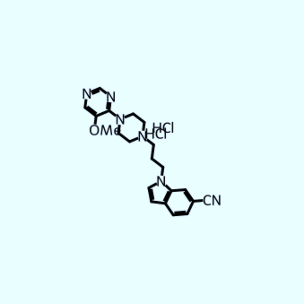 COc1cncnc1N1CCN(CCCn2ccc3ccc(C#N)cc32)CC1.Cl.Cl